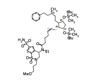 CCN(C(=O)CCC/C=C\C[C@@H]1C(CC[C@H](C)CCc2ccccc2)[C@H](O[Si](C)(C)C(C)(C)C)C[C@@H]1O[Si](C)(C)C(C)(C)C)C1CN(CCCOC)S(=O)(=O)c2sc(S(N)(=O)=O)cc21